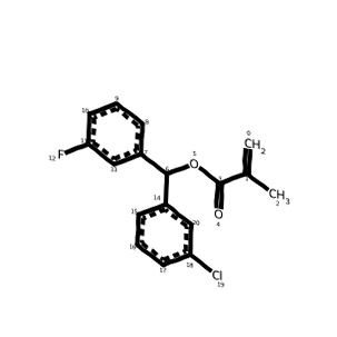 C=C(C)C(=O)OC(c1cccc(F)c1)c1cccc(Cl)c1